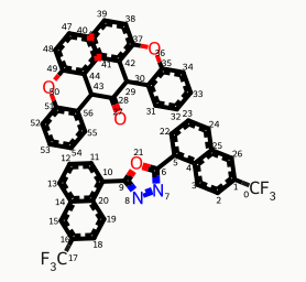 FC(F)(F)c1ccc2c(-c3nnc(-c4cccc5cc(C(F)(F)F)ccc45)o3)cccc2c1.O=C(C1c2ccccc2Oc2ccccc21)C1c2ccccc2Oc2ccccc21